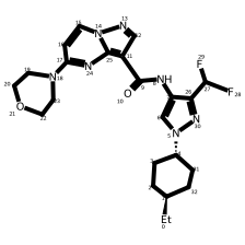 CC[C@H]1CC[C@H](n2cc(NC(=O)c3cnn4ccc(N5CCOCC5)nc34)c(C(F)F)n2)CC1